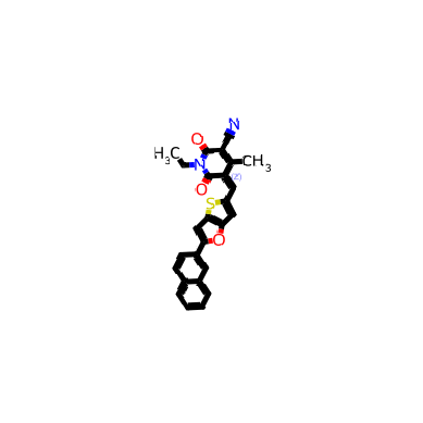 CCN1C(=O)C(C#N)=C(C)/C(=C/c2cc3oc(-c4ccc5ccccc5c4)cc3s2)C1=O